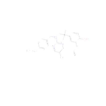 C=CCc1cc(C(C)(C)CN(Cc2ccc(OC(F)(F)F)cc2)c2ncc(CC)cn2)ccc1O